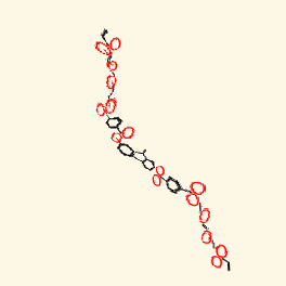 C=CC(=O)OCCOCCOCCOC(=O)c1ccc(C(=O)Oc2ccc3c(c2)C(C)c2cc(OC(=O)c4ccc(C(=O)OCCOCCOCCOC(=O)C=C)cc4)ccc2-3)cc1